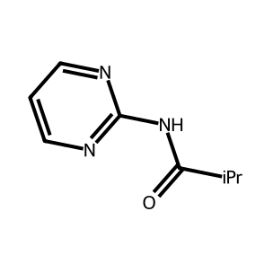 CC(C)C(=O)Nc1ncccn1